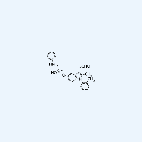 Cc1ccccc1-n1c(C)c(CC=O)c2cc(OC[C@H](O)CNc3ccccc3)ccc21